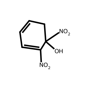 O=[N+]([O-])C1=CC=CCC1(O)[N+](=O)[O-]